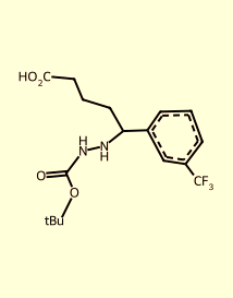 CC(C)(C)OC(=O)NNC(CCCC(=O)O)c1cccc(C(F)(F)F)c1